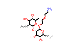 CC(=O)N[C@H]1C(O)[C@H](O)C(C)O[C@H]1O[C@H]1C(O)[C@H](O)C(C(=O)O)O[C@H]1OCCOCCN